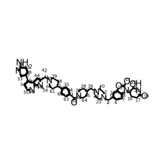 C[C@H]1CN(Cc2ccc3c(c2)oc(=O)n3C2CCC(=O)NC2=O)CCN1CC1CCN(C(=O)c2ccc(C3CCN([C@@H](C)c4cc5c(-c6ccc(N)nc6)ccnc5n4C)CC3)cc2)CC1